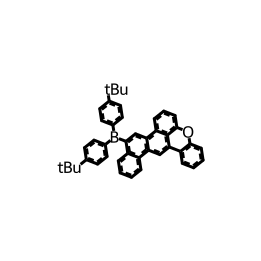 CC(C)(C)c1ccc(B(c2ccc(C(C)(C)C)cc2)c2cc3c4cccc5c4c(cc3c3ccccc23)-c2ccccc2O5)cc1